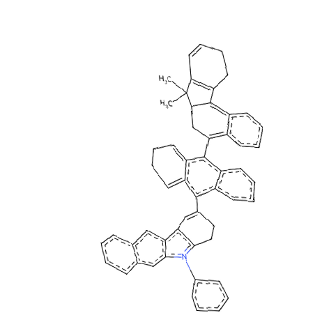 CC1(C)C2=C(CCC=C2)C2=c3ccccc3=C(c3c4c(c(C5=Cc6c(n(-c7ccccc7)c7cc8ccccc8cc67)CC5)c5ccccc35)=CCCC=4)CC21